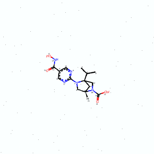 CC(C)C12C[C@@H](CN1c1ncc(C(=O)NO)cn1)N(C(=O)O)C2